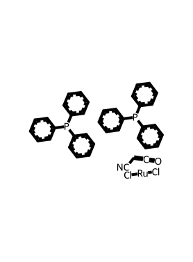 N#CC=C=O.[Cl][Ru][Cl].c1ccc(P(c2ccccc2)c2ccccc2)cc1.c1ccc(P(c2ccccc2)c2ccccc2)cc1